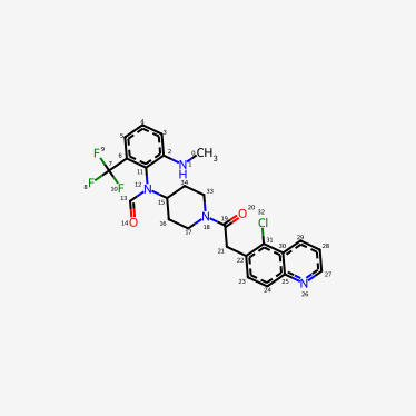 CNc1cccc(C(F)(F)F)c1N(C=O)C1CCN(C(=O)Cc2ccc3ncccc3c2Cl)CC1